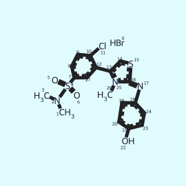 Br.CN(C)S(=O)(=O)c1ccc(Cl)c(-c2cs/c(=N/c3ccc(O)cc3)n2C)c1